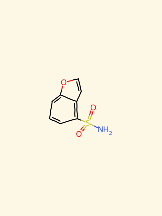 NS(=O)(=O)c1cccc2occc12